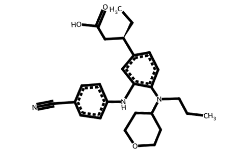 CCCN(c1ccc([C@H](CC)CC(=O)O)cc1Nc1ccc(C#N)cc1)C1CCOCC1